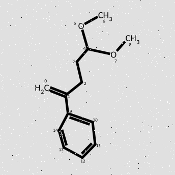 C=C(CCC(OC)OC)c1ccccc1